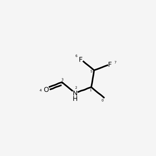 CC(N[C]=O)C(F)F